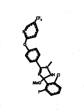 COC1(c2c(F)cccc2Cl)N=C(c2ccc(Oc3ccc(C(F)(F)F)cn3)cc2)N(C)N1